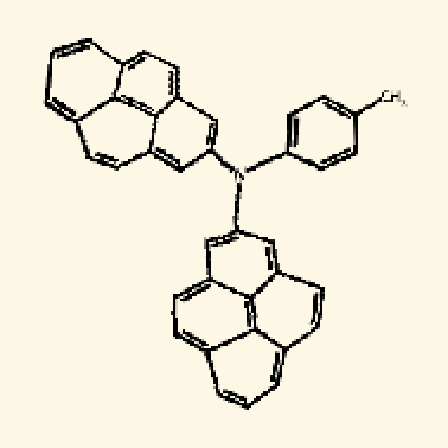 Cc1ccc(N(c2cc3ccc4cccc5ccc(c2)c3c45)c2cc3ccc4cccc5ccc(c2)c3c45)cc1